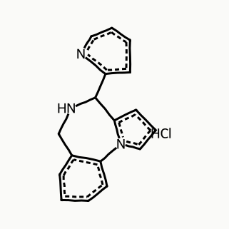 Cl.c1ccc(C2NCc3ccccc3-n3cccc32)nc1